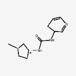 CN1CC[C@@H](NC(=O)NC2C=NC=CC2)C1